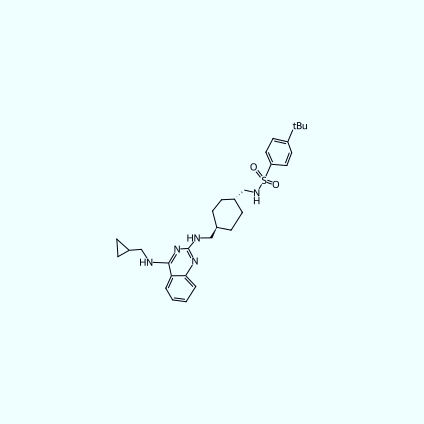 CC(C)(C)c1ccc(S(=O)(=O)NC[C@H]2CC[C@H](CNc3nc(NCC4CC4)c4ccccc4n3)CC2)cc1